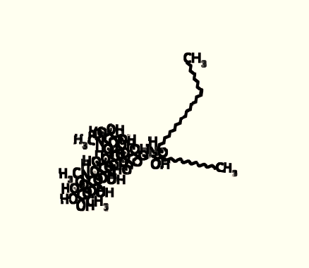 CCCCCCCC/C=C\CCCCCCCCCCCCCCCC(=O)N[C@@H](CO[C@@H]1OC(CO)[C@@H](O[C@@H]2OC(CO)[C@H](O[C@@H]3OC(CO)[C@H](O)[C@H](O)C3NC(C)=O)[C@H](O[C@H]3OC(CO)[C@H](O)[C@H](O[C@@H]4OC(CO)[C@@H](O)[C@H](O[C@H]5OC(C)[C@@H](O)C(O)[C@@H]5O)C4NC(C)=O)C3O)C2O)[C@H](O)C1O)[C@H](O)/C=C/CCCCCCCCCCCCC